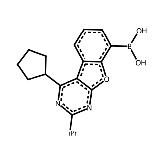 CC(C)c1nc(C2CCCC2)c2c(n1)oc1c(B(O)O)cccc12